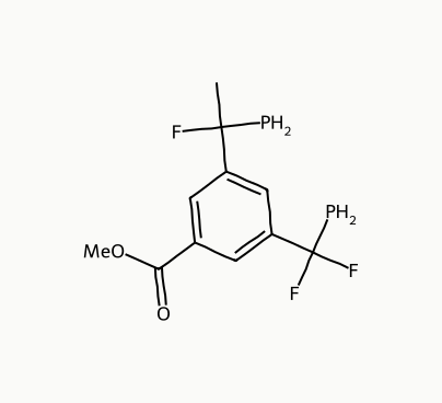 COC(=O)c1cc(C(C)(F)P)cc(C(F)(F)P)c1